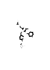 CC(C)c1nc(COC(N)=O)n(Cc2ccc(OCP(=O)(O)O)nc2)c1Sc1cc(Cl)cc(Cl)c1